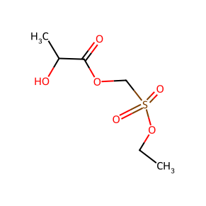 CCOS(=O)(=O)COC(=O)C(C)O